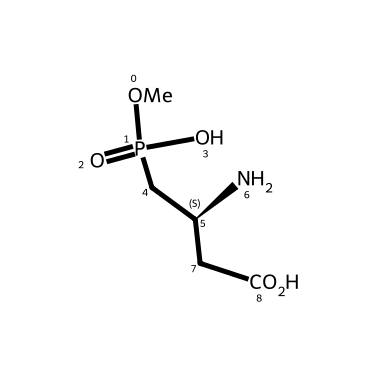 COP(=O)(O)C[C@@H](N)CC(=O)O